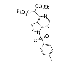 CCOC(=O)C(C(=O)OCC)c1ncnc2c1ccn2S(=O)(=O)c1ccc(C)cc1